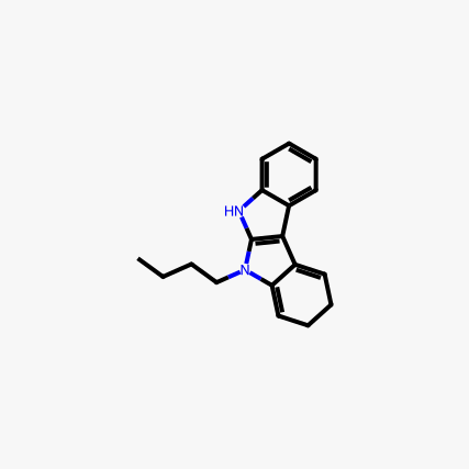 CCCCn1c2c(c3c4ccccc4[nH]c31)=CCCC=2